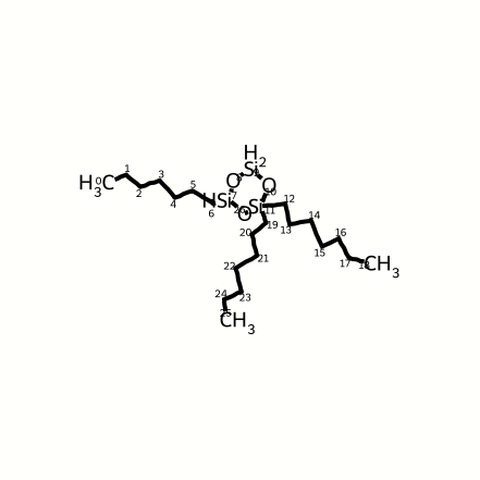 CCCCCCC[SiH]1O[SiH2]O[Si](CCCCCCC)(CCCCCCC)O1